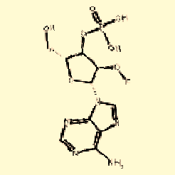 Nc1ncnc2c1ncn2[C@@H]1O[C@H](CO)[C@@H](OP(=O)(O)O)[C@H]1OF